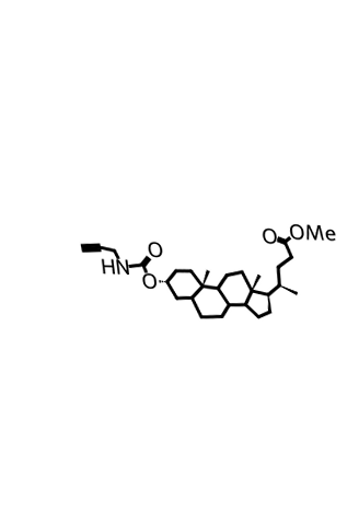 C#CCNC(=O)O[C@@H]1CC[C@@]2(C)C(CCC3C2CC[C@@]2(C)C3CC[C@@H]2[C@H](C)CCC(=O)OC)C1